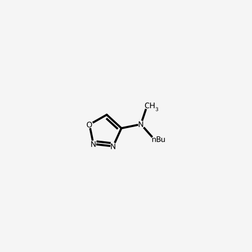 CCCCN(C)c1conn1